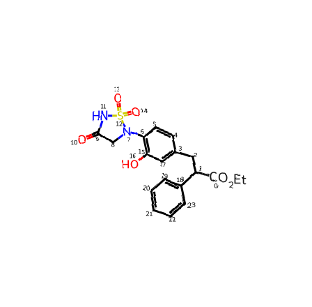 CCOC(=O)C(Cc1ccc(N2CC(=O)NS2(=O)=O)c(O)c1)c1ccccc1